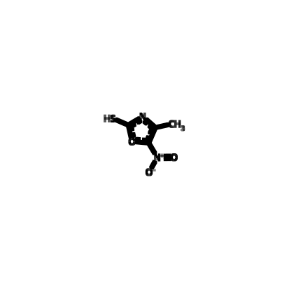 Cc1nc(S)oc1[N+](=O)[O-]